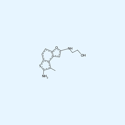 Cc1c(N)sc2ccc3oc(NCCO)cc3c12